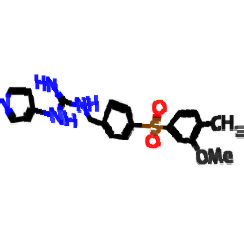 COc1cc(S(=O)(=O)c2ccc(CNC(=N)Nc3ccncc3)cc2)ccc1C